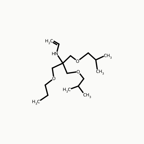 C=CNC(COCCC)(COCC(C)C)COCC(C)C